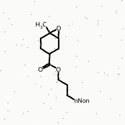 CCCCCCCCCCCCOC(=O)C1CCC2(C)OC2C1